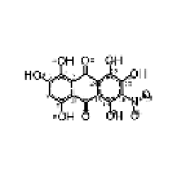 O=C1c2c(O)c(O)cc(O)c2C(=O)c2c(O)c([N+](=O)[O-])c(O)c(O)c21